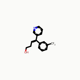 OCC/C=C(/c1cccnc1)c1cccc(C(F)(F)F)c1